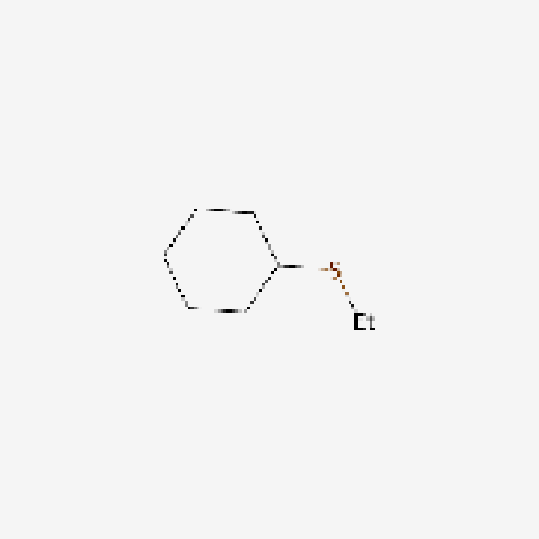 [CH2]CSC1CCCCC1